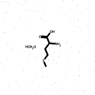 CSCCC(N)C(=O)O.Cl.O